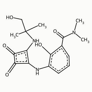 CN(C)C(=O)c1cccc(Nc2c(NC(C)(C)CO)c(=O)c2=O)c1O